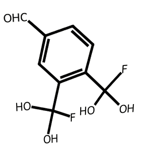 O=Cc1ccc(C(O)(O)F)c(C(O)(O)F)c1